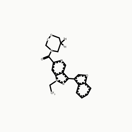 [2H]C1([2H])COCCN(C(=O)c2cc3c(cn2)c(-c2coc4ccccc24)nn3CC(F)(F)F)C1